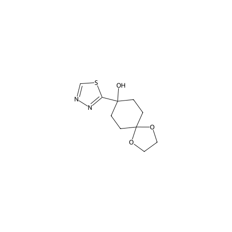 OC1(c2nncs2)CCC2(CC1)OCCO2